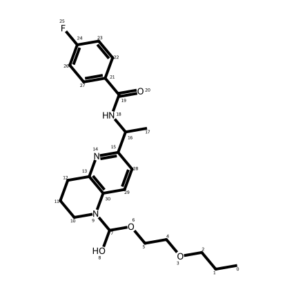 CCCOCCOC(O)N1CCCc2nc(C(C)NC(=O)c3ccc(F)cc3)ccc21